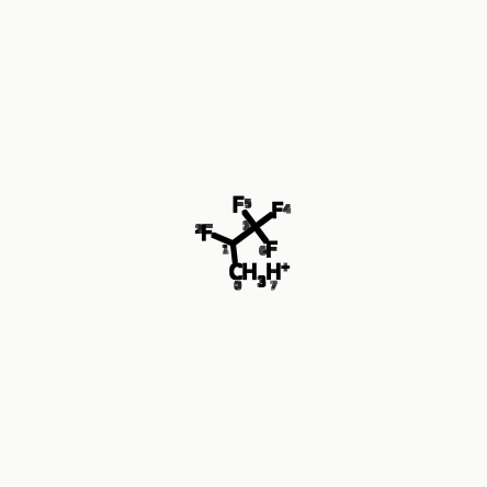 CC(F)C(F)(F)F.[H+]